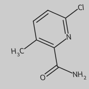 Cc1ccc(Cl)nc1C(N)=O